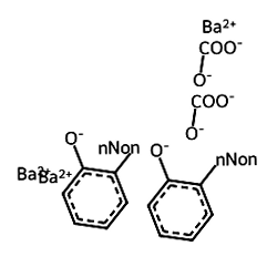 CCCCCCCCCc1ccccc1[O-].CCCCCCCCCc1ccccc1[O-].O=C([O-])[O-].O=C([O-])[O-].[Ba+2].[Ba+2].[Ba+2]